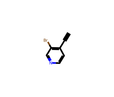 C#Cc1ccncc1Br